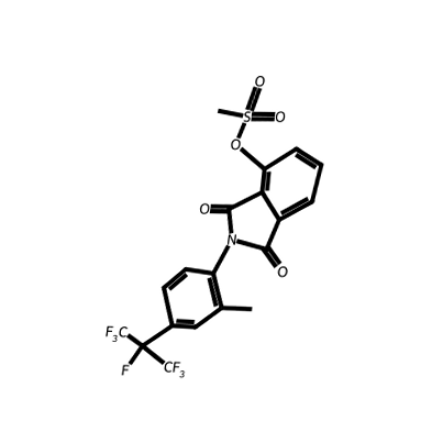 Cc1cc(C(F)(C(F)(F)F)C(F)(F)F)ccc1N1C(=O)c2cccc(OS(C)(=O)=O)c2C1=O